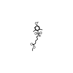 CCOC(=O)CCCCN(C)S(=O)(=O)c1c(C)cc(OC)cc1C